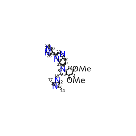 COc1cc(OC)cc(N(CCCn2cc(C)nc2C)c2ccc3ncc(-c4cnn(C)c4)nc3c2)c1